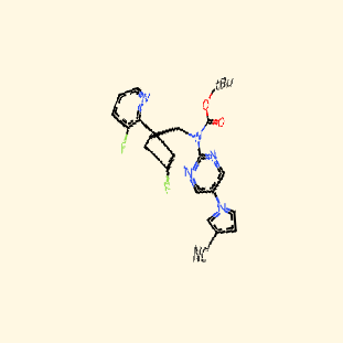 CC(C)(C)OC(=O)N(CC1(c2ncccc2F)CC(F)C1)c1ncc(-n2ccc(C#N)c2)cn1